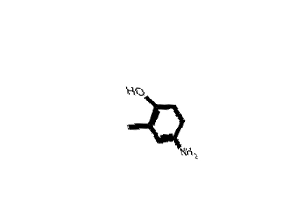 CC1=C(O)CCC(N)=C1